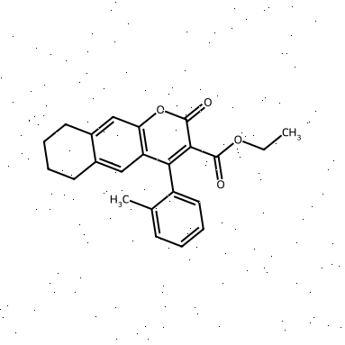 CCOC(=O)c1c(-c2ccccc2C)c2cc3c(cc2oc1=O)CCCC3